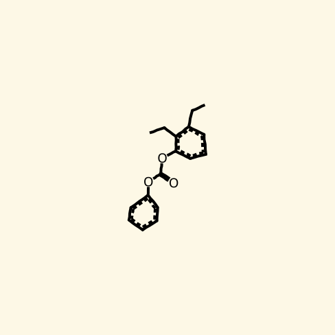 CCc1cccc(OC(=O)Oc2ccccc2)c1CC